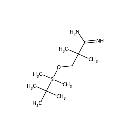 CC(C)(CO[Si](C)(C)C(C)(C)C)C(=N)N